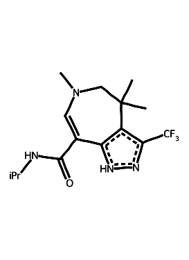 CC(C)NC(=O)C1=CN(C)CC(C)(C)c2c(C(F)(F)F)n[nH]c21